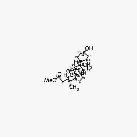 COC(=O)CC[C@@H](C)[C@H]1CC[C@H]2[C@@H]3CCC4C[C@H](O)CC[C@]4(C)[C@H]3CC(=O)[C@]12C